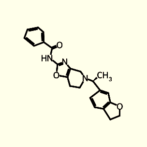 C[C@@H](c1ccc2c(c1)OCC2)N1CCc2oc(NC(=O)c3ccccc3)nc2C1